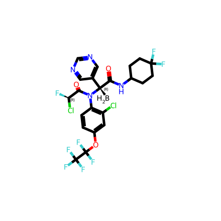 B[C@](C(=O)NC1CCC(F)(F)CC1)(c1cncnc1)N(C(=O)[C@H](F)Cl)c1ccc(OC(F)(F)C(F)(F)F)cc1Cl